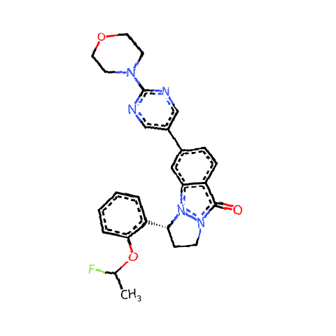 CC(F)Oc1ccccc1[C@H]1CCn2c(=O)c3ccc(-c4cnc(N5CCOCC5)nc4)cc3n21